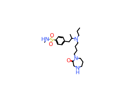 CCCN(CCCCN1CCCNCC1=O)C(C)Cc1ccc(S(=O)(=O)NC)cc1